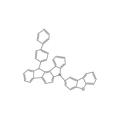 c1ccc(-c2ccc(C3c4ccccc4-c4ccc5c(c43)c3ccccc3n5-c3ccc4oc5ccccc5c4c3)cc2)cc1